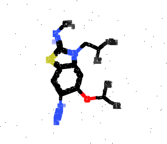 CCCCC(CC)Cn1/c(=N\C)sc2cc([N+]#N)c(OC(CC)CC)cc21